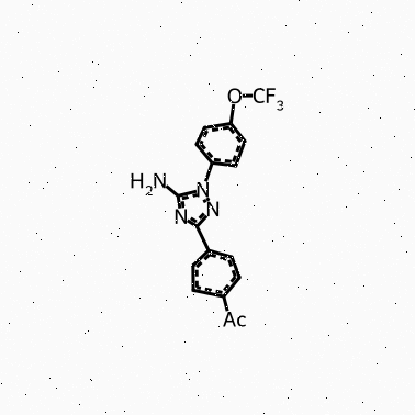 CC(=O)c1ccc(-c2nc(N)n(-c3ccc(OC(F)(F)F)cc3)n2)cc1